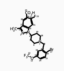 Cc1nn(C2CCN(Cc3cc(OC(F)(F)F)ccc3Br)CC2)c2cc(F)c(C(=O)O)cc12